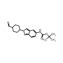 CC(C)(C)OC(=O)Nc1ccc2nn(C3CCC(C=O)CC3)cc2c1